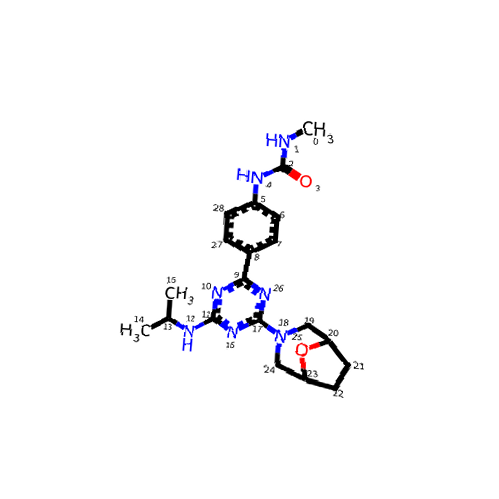 CNC(=O)Nc1ccc(-c2nc(NC(C)C)nc(N3CC4CCC(C3)O4)n2)cc1